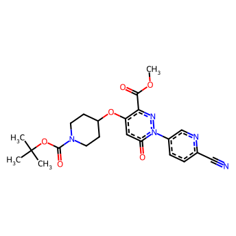 COC(=O)c1nn(-c2ccc(C#N)nc2)c(=O)cc1OC1CCN(C(=O)OC(C)(C)C)CC1